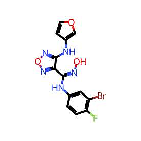 ON=C(Nc1ccc(F)c(Br)c1)c1nonc1Nc1ccoc1